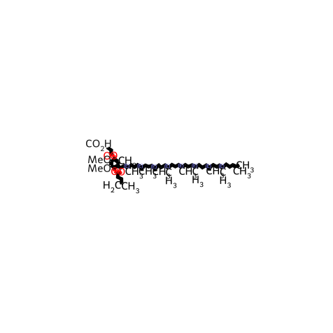 C=C(C)CCC(=O)Oc1c(C/C=C(\C)CC/C=C(\C)CC/C=C(\C)CC/C=C(\C)CC/C=C(\C)CC/C=C(\C)CC/C=C(\C)CC/C=C(\C)CCC=C(C)C)c(C)c(OC(=O)CCC(=O)O)c(OC)c1OC